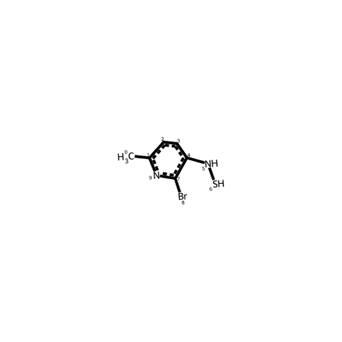 Cc1ccc(NS)c(Br)n1